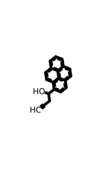 C#CCC(O)c1ccc2ccc3cccc4ccc1c2c34